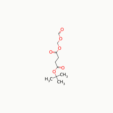 CC(C)(C)OC(=O)CCC(=O)OCOC=O